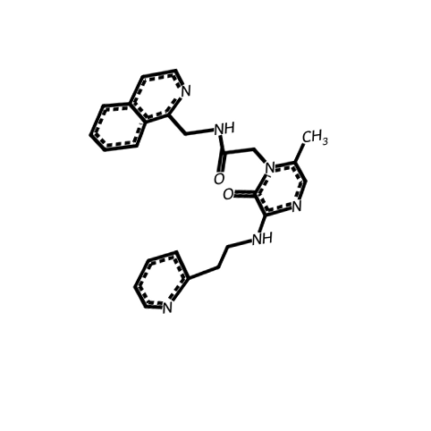 Cc1cnc(NCCc2ccccn2)c(=O)n1CC(=O)NCc1nccc2ccccc12